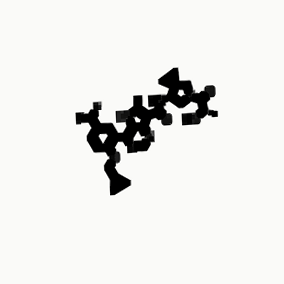 Cc1[nH]c2c(-c3cc(C(F)F)ccc3OCC3CC3)ncnc2c1C(=O)N[C@@H]1CN(C(=O)[C@H](C)O)CC12CC2